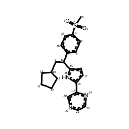 CS(=O)(=O)c1ccc(C(CC2CCCC2)c2ccc(-c3cnccn3)[nH]2)cc1